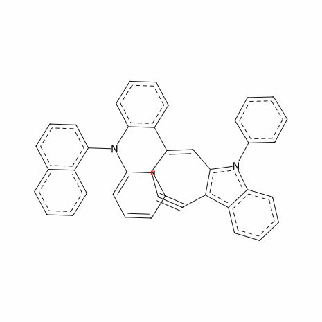 C1#Cc2c(n(-c3ccccc3)c3ccccc23)C=C(c2ccccc2N(C2=CC=CCC2)c2cccc3ccccc23)C1